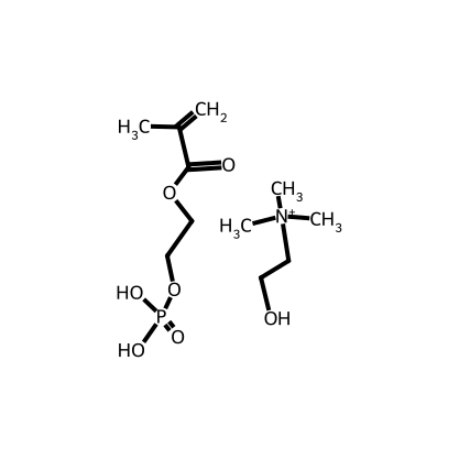 C=C(C)C(=O)OCCOP(=O)(O)O.C[N+](C)(C)CCO